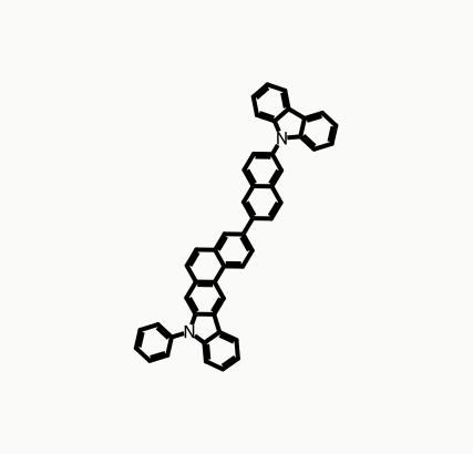 c1ccc(-n2c3ccccc3c3cc4c(ccc5cc(-c6ccc7cc(-n8c9ccccc9c9ccccc98)ccc7c6)ccc54)cc32)cc1